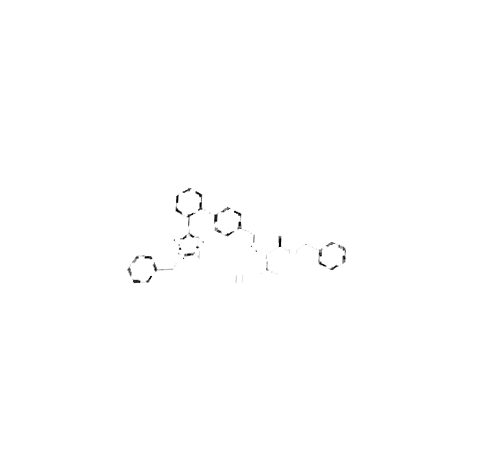 CC(C)[C@H](NCc1ccc(-c2ccccc2-c2nnn(Cc3ccccc3)n2)cc1)C(=O)OCc1ccccc1